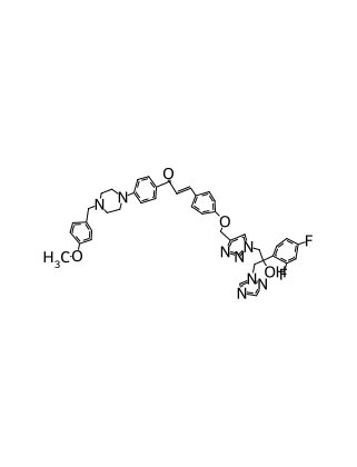 COc1ccc(CN2CCN(c3ccc(C(=O)C=Cc4ccc(OCc5cn(CC(O)(Cn6cncn6)c6ccc(F)cc6F)nn5)cc4)cc3)CC2)cc1